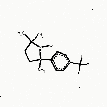 CC1(C)CCC(C)(c2ccc(C(F)(F)F)cc2)N1[O]